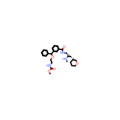 CN[C@@H](CNC(=O)c1cccc(C(OCCNC(=O)OC)c2ccccc2)c1)C[C@H]1CCCOC1